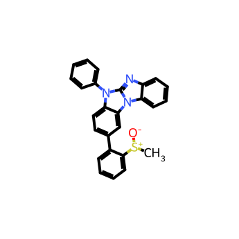 C[S+]([O-])c1ccccc1-c1ccc2c(c1)n1c3ccccc3nc1n2-c1ccccc1